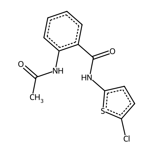 CC(=O)Nc1ccccc1C(=O)Nc1ccc(Cl)s1